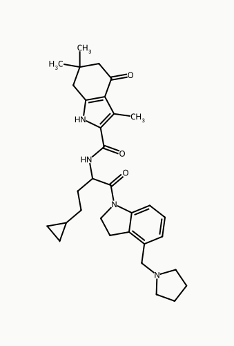 Cc1c(C(=O)NC(CCC2CC2)C(=O)N2CCc3c(CN4CCCC4)cccc32)[nH]c2c1C(=O)CC(C)(C)C2